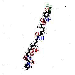 CC(/C=C/CNC(=O)/C=C/[C@@H](C)C[C@H](C)COC(=O)Nc1ccc(OC(F)(F)F)cc1)=C\[C@@H](O)CC(=O)Cc1nc(C(=O)N2CCCC2)co1